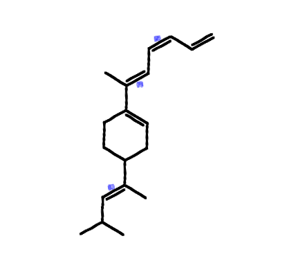 C=C/C=C\C=C(/C)C1=CCC(/C(C)=C/C(C)C)CC1